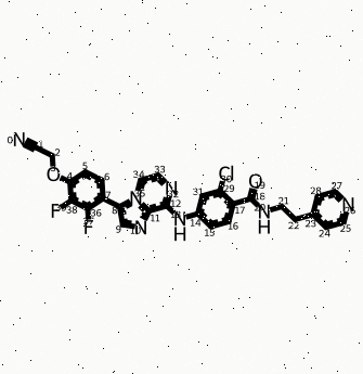 N#CCOc1ccc(-c2cnc3c(Nc4ccc(C(=O)NCCc5ccncc5)c(Cl)c4)nccn23)c(F)c1F